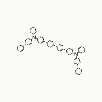 C1=CCC(c2ccc(N(c3ccccc3)c3ccc(-c4ccc(-c5ccc(-c6ccc(N(C7=CCC(c8ccccc8)C=C7)[C@@H]7C=CC=CC7)cc6)cc5)cc4)cc3)cc2)C=C1